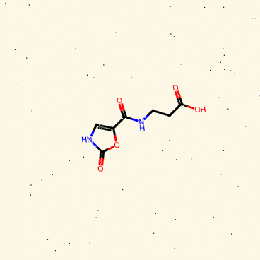 O=C(O)CCNC(=O)c1c[nH]c(=O)o1